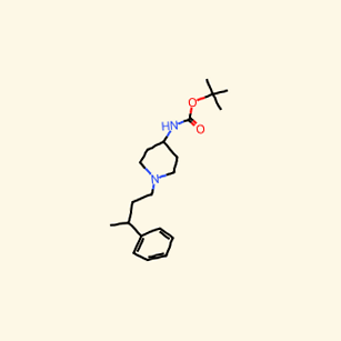 CC(CCN1CCC(NC(=O)OC(C)(C)C)CC1)c1ccccc1